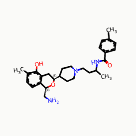 Cc1ccc(C(=O)NC(C)CCN2CCC([C@@H]3Cc4c(ccc(C)c4O)[C@H](CN)O3)CC2)cc1